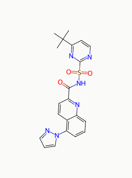 CC(C)(C)c1ccnc(S(=O)(=O)NC(=O)c2ccc3c(-n4cccn4)cccc3n2)n1